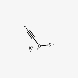 N#CO[S-].[K+]